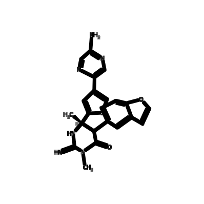 CN1C(=N)N[C@](C)(c2cc(-c3cnc(N)cn3)cs2)C(c2ccc3occc3c2)C1=O